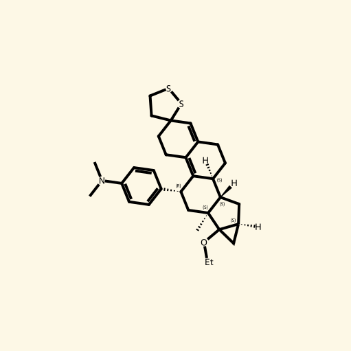 CCOC12C[C@@H]1C[C@H]1[C@@H]3CCC4=CC5(CCSS5)CCC4=C3[C@@H](c3ccc(N(C)C)cc3)C[C@@]12C